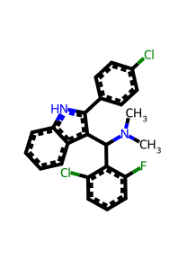 CN(C)C(c1c(F)cccc1Cl)c1c(-c2ccc(Cl)cc2)[nH]c2ccccc12